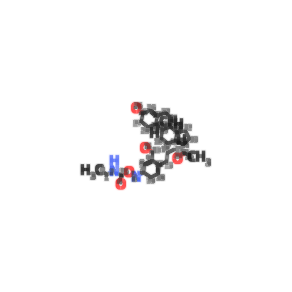 CCNC(=O)ON=C1C=C(C=O)C(CCC[C@]23CC[C@@H]4[C@@H](CCC5=CC(=O)CC[C@]54C)[C@@H]2CC[C@@H]3C(C)=O)=CC1